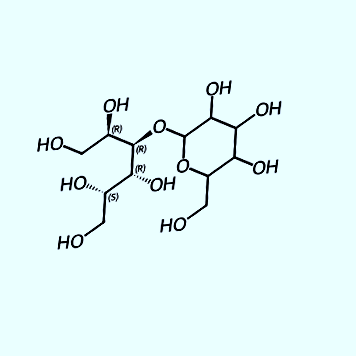 OCC1OC(O[C@@H]([C@H](O)[C@@H](O)CO)[C@H](O)CO)C(O)C(O)C1O